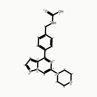 O=C(O)NCc1ccc(-c2nc(N3CCOCC3)cn3nccc23)cc1